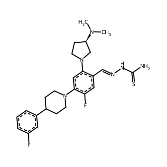 CN(C)[C@@H]1CCN(c2cc(N3CCC(c4cccc(F)c4)CC3)c(F)cc2C=NNC(N)=S)C1